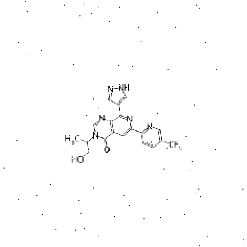 CC(CO)n1cnc2c(-c3cn[nH]c3)nc(-c3ccc(C(F)(F)F)cn3)cc2c1=O